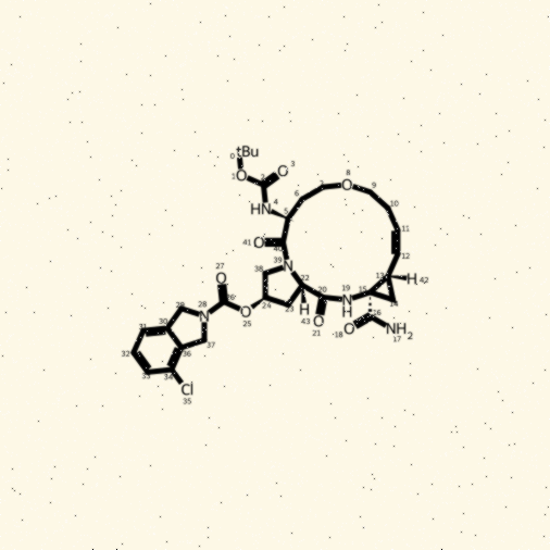 CC(C)(C)OC(=O)N[C@H]1CCOCC/C=C\[C@@H]2C[C@@]2(C(N)=O)NC(=O)[C@@H]2C[C@@H](OC(=O)N3Cc4cccc(Cl)c4C3)CN2C1=O